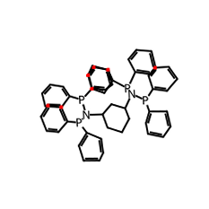 c1ccc(P(c2ccccc2)N(C2CCCC(N(P(c3ccccc3)c3ccccc3)P(c3ccccc3)c3ccccc3)C2)P(c2ccccc2)c2ccccc2)cc1